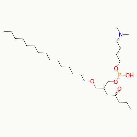 CCCCCCCCCCCCCCCOCC(COP(O)OCCCCN(C)C)CC(=O)CCC